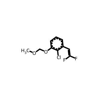 COCOc1cccc(C=C(F)F)c1Cl